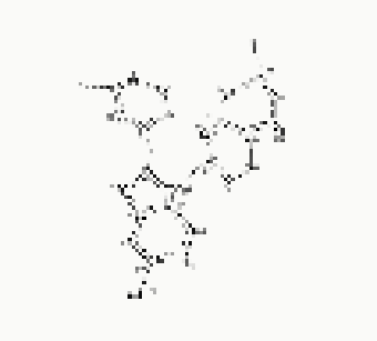 Cc1cccc(-c2nn3cc(Cl)ccc3c2-c2ccc3ncc(I)cc3n2)n1